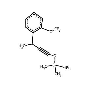 CC(C#CO[Si](C)(C)C(C)(C)C)c1ccccc1OC(F)(F)F